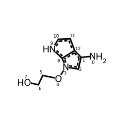 Nc1cn(OCCO)c2[nH]ccc12